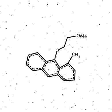 COCCOc1c2ccccc2cc2cccc(C)c12